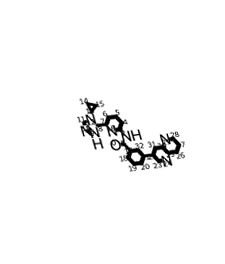 O=C(Nc1cccc(C2NN=CN2C2CC2)n1)c1cccc(-c2cnc3cccnc3c2)c1